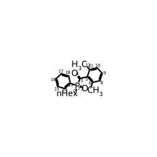 CCCCCCP(=O)(C(=O)c1c(C)cccc1C)c1ccccc1